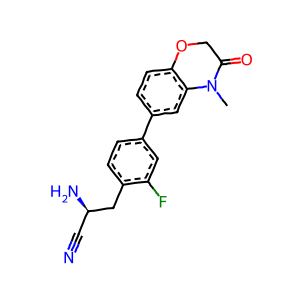 CN1C(=O)COc2ccc(-c3ccc(C[C@H](N)C#N)c(F)c3)cc21